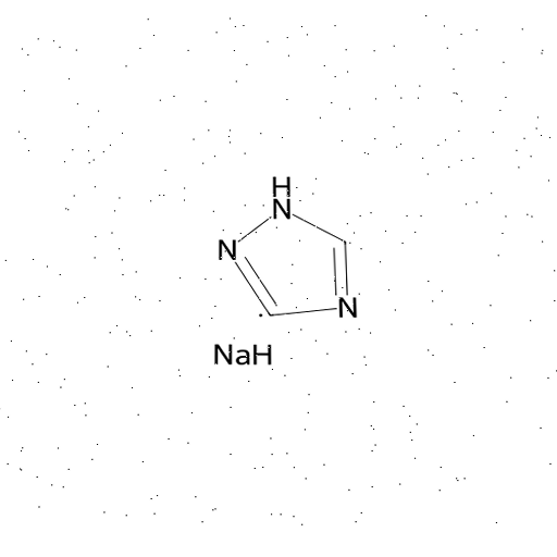 [NaH].[c]1nc[nH]n1